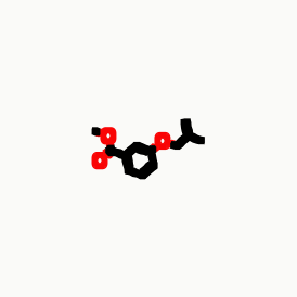 C=C(C)COc1cccc(C(=O)OC)c1